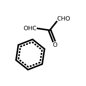 O=CC(=O)C=O.c1ccccc1